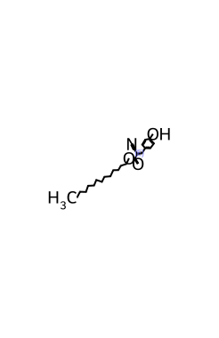 CCCCCCCCCCCCCCOC(=O)/C(C#N)=C/c1ccc(O)cc1